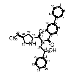 O=C(c1ccc(-c2ccccc2)cc1)N(CC(O)c1ccccc1)C(=O)[C@@H]1CC(=CCl)CN1